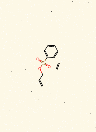 C=C.C=CCOS(=O)(=O)c1ccccc1